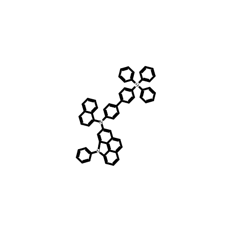 c1ccc(-n2c3cccc4ccc5cc(N(c6ccc(-c7ccc([Si](c8ccccc8)(c8ccccc8)c8ccccc8)cc7)cc6)c6cccc7ccccc67)cc2c5c43)cc1